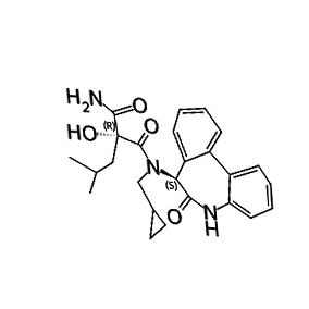 CC(C)C[C@@](O)(C(N)=O)C(=O)N(CC1CC1)[C@@H]1C(=O)Nc2ccccc2-c2ccccc21